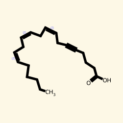 CCCCC/C=C\C/C=C\C/C=C\CC#CCCCC(=O)O